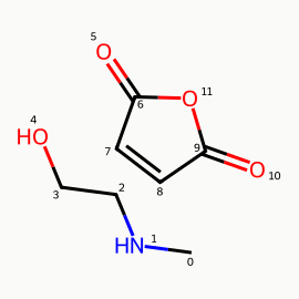 CNCCO.O=C1C=CC(=O)O1